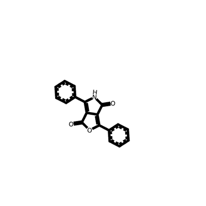 O=C1NC(c2ccccc2)=C2C(=O)OC(c3ccccc3)=C12